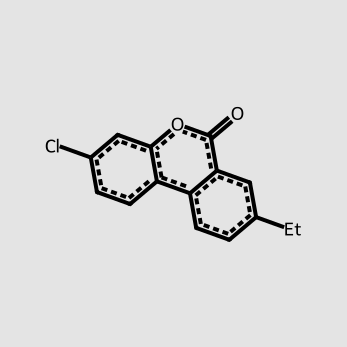 CCc1ccc2c(c1)c(=O)oc1cc(Cl)ccc12